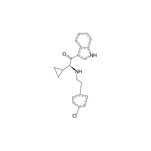 O=C(c1c[nH]c2ccccc12)[C@@H](NCCc1ccc(Cl)cc1)C1CC1